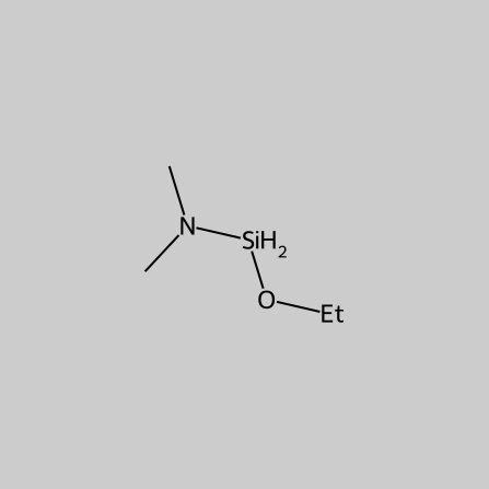 CCO[SiH2]N(C)C